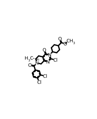 COC(=O)C1CCC(n2c(Cl)nc3c(c2=O)C[C@@H](C)N(C(=O)c2ccc(Cl)c(Cl)c2)C3)CC1